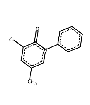 Cc1cc(Cl)c(=O)n(-c2ccccc2)c1